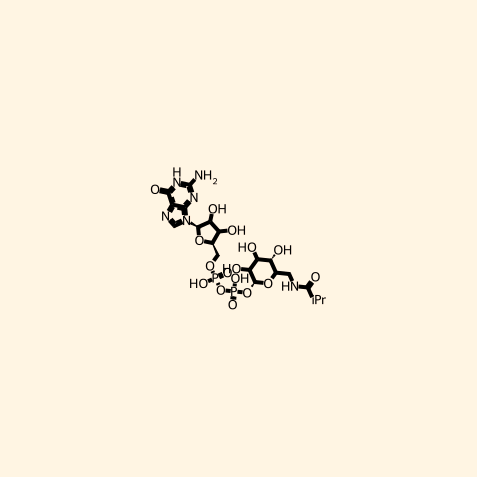 CC(C)C(=O)NCC1O[C@H](OP(=O)(O)OP(=O)(O)OC[C@H]2O[C@@H](n3cnc4c(=O)[nH]c(N)nc43)C(O)C2O)C(O)C(O)[C@@H]1O